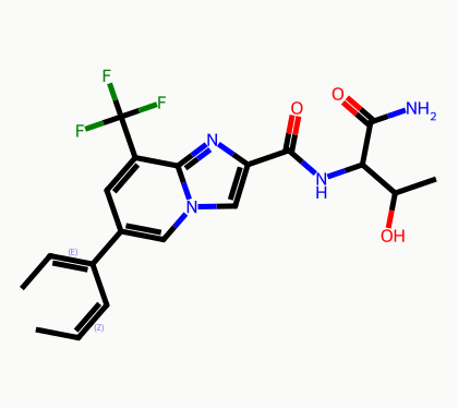 C/C=C\C(=C/C)c1cc(C(F)(F)F)c2nc(C(=O)NC(C(N)=O)C(C)O)cn2c1